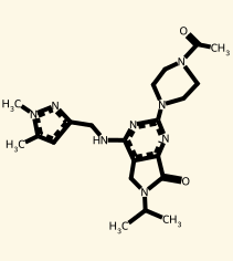 CC(=O)N1CCN(c2nc(NCc3cc(C)n(C)n3)c3c(n2)C(=O)N(C(C)C)C3)CC1